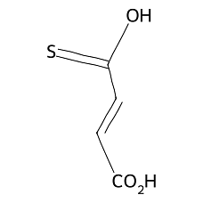 O=C(O)/C=C/C(O)=S